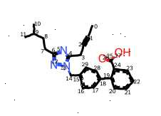 CC#CCc1nc(CCC(C)C)nn1Cc1ccc(-c2ccccc2C(=O)O)cc1